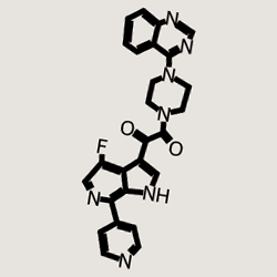 O=C(C(=O)N1CCN(c2ncnc3ccccc23)CC1)c1c[nH]c2c(-c3ccncc3)ncc(F)c12